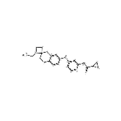 O=C(O)CN1CCC12COc1ccc(Oc3ccnc(NC(=O)C4CC4)c3)cc1C2